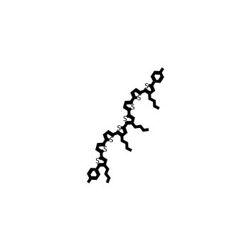 CCCCc1cc(-c2ccc(-c3ccc(-c4sc(-c5sc(-c6ccc(-c7ccc(-c8sc(-c9ccc(C)cc9)cc8CCCC)s7)s6)cc5CCCC)cc4CCCC)s3)s2)sc1-c1ccc(C)cc1